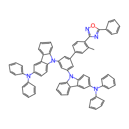 Cc1cc(-c2cc(-n3c4ccccc4c4cc(N(c5ccccc5)c5ccccc5)ccc43)cc(-n3c4ccccc4c4cc(N(c5ccccc5)c5ccccc5)ccc43)c2)ccc1-c1noc(-c2ccccc2)n1